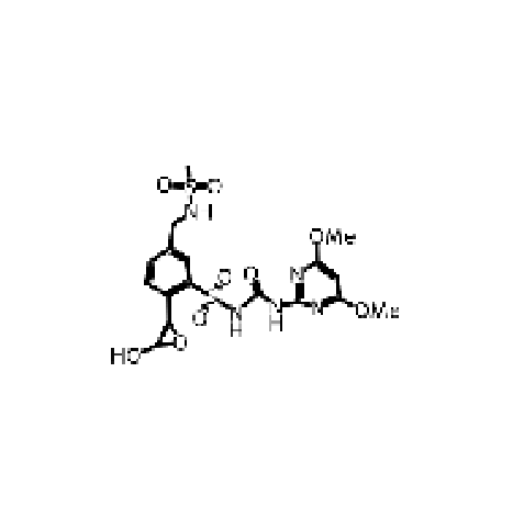 COc1cc(OC)nc(NC(=O)NS(=O)(=O)c2cc(CNS(C)(=O)=O)ccc2C2OC2O)n1